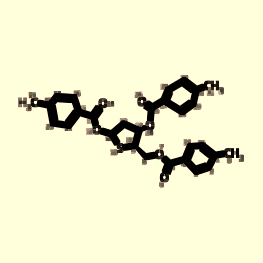 Cc1ccc(C(=O)OC[C@H]2SC(OC(=O)c3ccc(C)cc3)C[C@H]2OC(=O)c2ccc(C)cc2)cc1